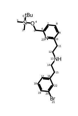 CC(C)(C)[Si](C)(C)OCc1cccc(CCNCCc2cccc(Br)c2)n1